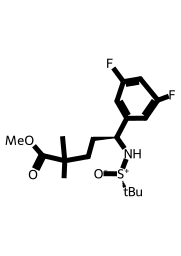 COC(=O)C(C)(C)CC[C@H](N[S@@+]([O-])C(C)(C)C)c1cc(F)cc(F)c1